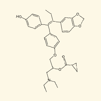 CCC(=C(c1ccc(O)cc1)c1ccc(OCC(CN(CC)CC)OC(=O)C2CC2)cc1)c1ccc2c(c1)OCO2